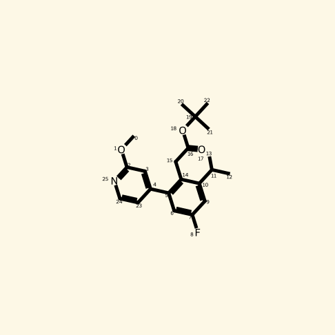 COc1cc(-c2cc(F)cc(C(C)C)c2CC(=O)OC(C)(C)C)ccn1